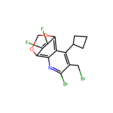 Fc1c(F)c2c3c(C4CCC4)c(CBr)c(Br)nc3c1OCO2